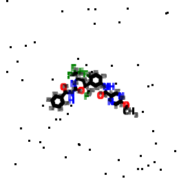 COc1cnc(C(=O)Nc2ccc(F)c([C@]3(CF)C[C@@H](C(F)(F)F)N=C(NC(=O)c4ccccc4)O3)c2)cn1